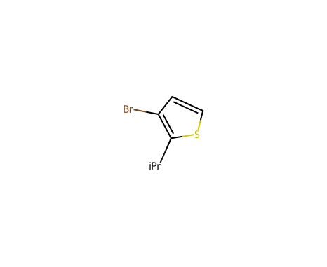 CC(C)c1sccc1Br